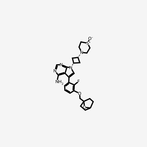 Nc1ncnc2c1c(-c1cccc(OCC34CCC(CC3)O4)c1F)cn2[C@H]1C[C@@H](N2CC[S+]([O-])CC2)C1